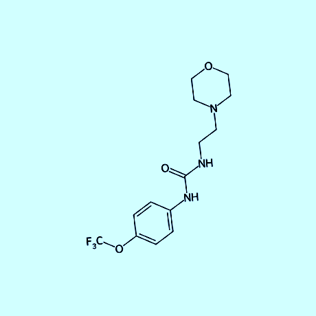 O=C(NCCN1CCOCC1)Nc1ccc(OC(F)(F)F)cc1